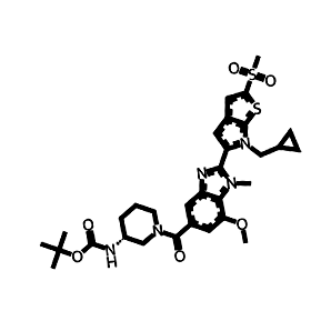 COc1cc(C(=O)N2CCC[C@@H](NC(=O)OC(C)(C)C)C2)cc2nc(-c3cc4cc(S(C)(=O)=O)sc4n3CC3CC3)n(C)c12